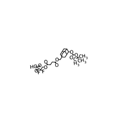 CC(C)(C)OC(=O)OC1C2CC3CC1CC(COC(=O)CCC(=O)OCC(F)(F)S(=O)(=O)O)(C3)C2